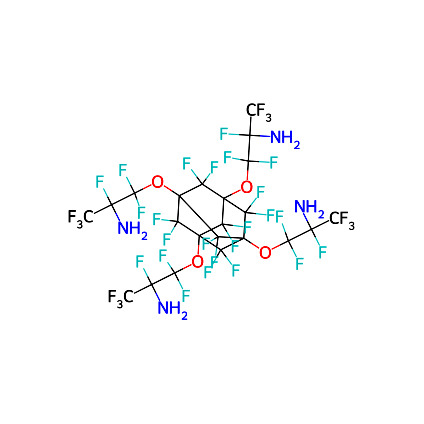 NC(F)(C(F)(F)F)C(F)(F)OC12C(F)(F)C3(OC(F)(F)C(N)(F)C(F)(F)F)C(F)(F)C(OC(F)(F)C(N)(F)C(F)(F)F)(C1(F)F)C(F)(F)C(OC(F)(F)C(N)(F)C(F)(F)F)(C2(F)F)C3(F)F